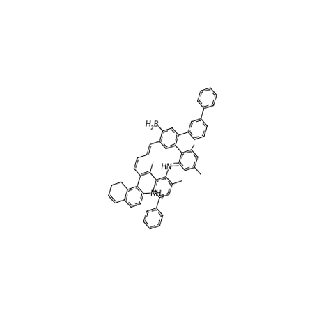 Bc1cc(-c2cccc(-c3ccccc3)c2)c(-c2c(C)cc(C)cc2C)cc1/C=C/C=C\C(=C(/C)c1cc(-c2ccccc2)cc(C)c1NC)c1c(N)ccc2c1CCC=C2